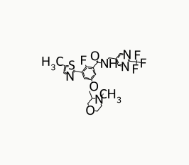 Cc1cnc(-c2cc(OCC3COCCN3C)cc(C(=O)NCc3cnc(C(F)(F)F)nc3)c2F)s1